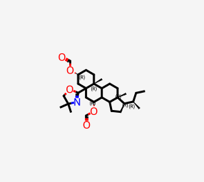 CC[C@@H](C)[C@H]1CCC2C3C(CC[C@@]21C)[C@@]1(C)CC[C@@H](OC=O)CC1(C1=NC(C)(C)CO1)C[C@H]3OC=O